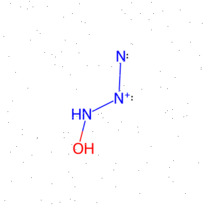 [N][N+]NO